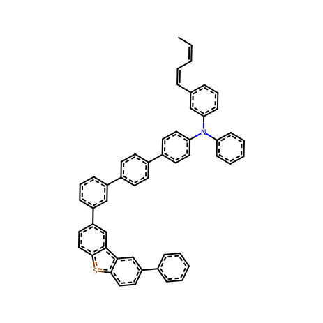 C/C=C\C=C/c1cccc(N(c2ccccc2)c2ccc(-c3ccc(-c4cccc(-c5ccc6sc7ccc(-c8ccccc8)cc7c6c5)c4)cc3)cc2)c1